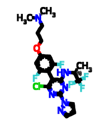 C[C@H](Nc1nc(-n2cccn2)nc(Cl)c1-c1c(F)cc(OCCCN(C)C)cc1F)C(F)(F)F